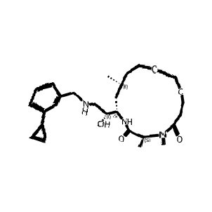 C[C@@H]1CCCCCCCCC(=O)N(C)[C@@H](C)C(=O)N[C@H]([C@H](O)CNCc2cccc(C3CC3)c2)C1